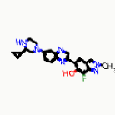 Cn1cc2cc(-c3cnc4cc(N5CCNC(C6CC6)C5)ccc4n3)c(O)c(F)c2n1